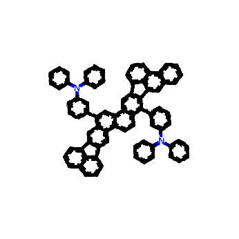 c1ccc(N(c2ccccc2)c2cccc(-c3cc4c5cc6c(c(-c7cccc(N(c8ccccc8)c8ccccc8)c7)c5ccc4c4cc5c(cc34)-c3cccc4cccc-5c34)-c3cc4ccccc4c4cccc-6c34)c2)cc1